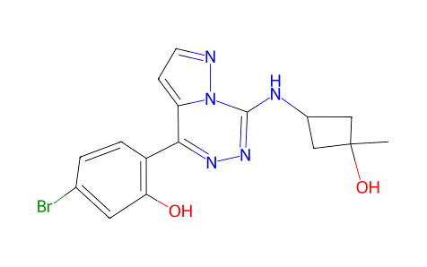 CC1(O)CC(Nc2nnc(-c3ccc(Br)cc3O)c3ccnn23)C1